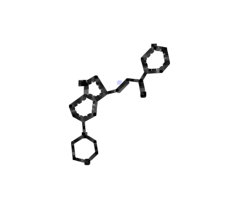 O=C(/C=C/c1c[nH]c2ccc(N3CCOCC3)cc12)c1cccnc1